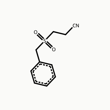 N#CCCS(=O)(=O)Cc1ccccc1